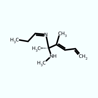 C=C/C=C(\C)[C@](C)(/N=C\CC)NC